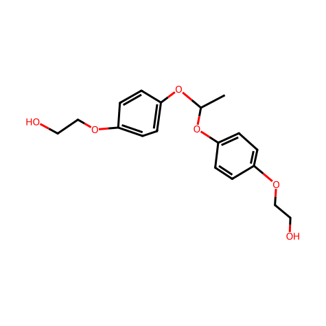 CC(Oc1ccc(OCCO)cc1)Oc1ccc(OCCO)cc1